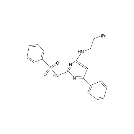 CC(C)CCNc1cc(-c2ccccc2)nc(NS(=O)(=O)c2ccccc2)n1